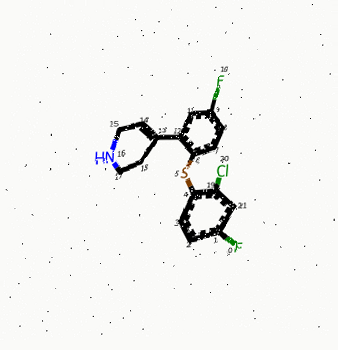 Fc1ccc(Sc2ccc(F)cc2C2=CCNCC2)c(Cl)c1